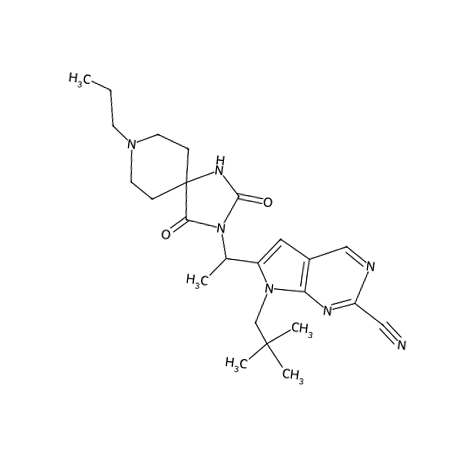 CCCN1CCC2(CC1)NC(=O)N(C(C)c1cc3cnc(C#N)nc3n1CC(C)(C)C)C2=O